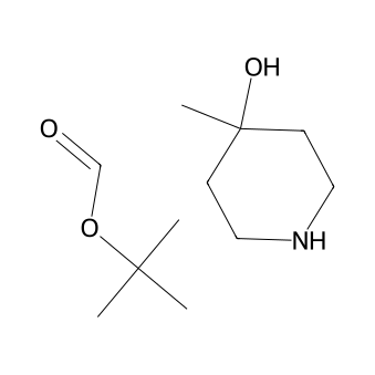 CC(C)(C)OC=O.CC1(O)CCNCC1